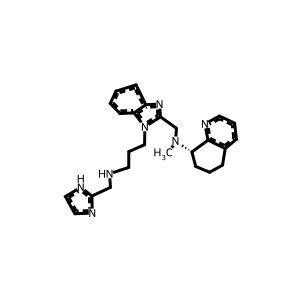 CN(Cc1nc2ccccc2n1CCCNCc1ncc[nH]1)[C@H]1CCCc2cccnc21